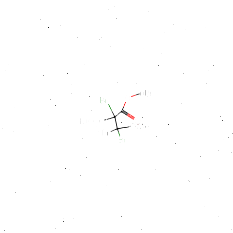 CCCOC(=O)C(Br)(C(=O)OCC)C(Br)(CCC)OC